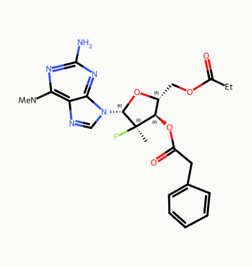 CCC(=O)OC[C@H]1O[C@@H](n2cnc3c(NC)nc(N)nc32)[C@](C)(F)[C@@H]1OC(=O)Cc1ccccc1